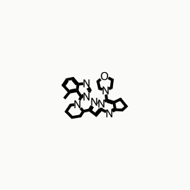 Cc1cccc2ncnc(N3CCCCC3c3cc4nc5c(c(N6CCOCC6)n4n3)CCC5)c12